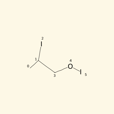 CC(I)COI